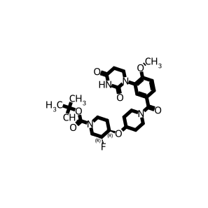 COc1ccc(C(=O)N2CCC(O[C@@H]3CCN(C(=O)OC(C)(C)C)C[C@H]3F)CC2)cc1N1CCC(=O)NC1=O